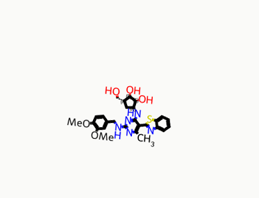 COc1ccc(CNc2nc(C)c(-c3nc4ccccc4s3)c(N[C@@H]3C[C@H](CO)[C@@H](O)[C@H]3O)n2)cc1OC